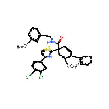 COc1cccc(CNC(=O)C2(c3nc(-c4ccc(Cl)c(Cl)c4)cs3)C=CC(c3ccccc3)C(C(=O)O)=C2)c1